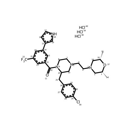 C[C@@H]1CN(CCN2CCN(C(=O)c3cc(-c4cc[nH]c4)cc(C(F)(F)F)c3)C(Cc3ccc(Cl)cc3)C2)C[C@H](C)O1.Cl.Cl.Cl